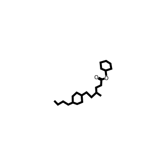 CCCCC1CCC(CCC(C)CCC(=O)OC2CCCCC2)CC1